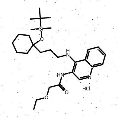 CCOCC(=O)Nc1cnc2ccccc2c1NCCCC1(O[Si](C)(C)C(C)(C)C)CCCCC1.Cl